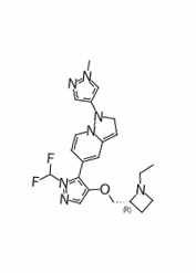 CCN1CC[C@@H]1COc1cnn(C(F)F)c1C1=CC2=CCN(c3cnn(C)c3)N2C=C1